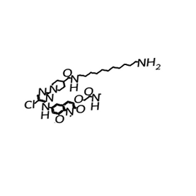 CNC(=O)COc1cc2cc(Nc3nc(N4CCC(C(=O)NCCCCCCCCCCCN)CC4)ncc3Cl)cc(OC)c2n(C)c1=O